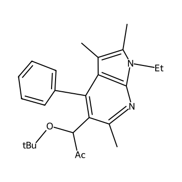 CCn1c(C)c(C)c2c(-c3ccccc3)c(C(OC(C)(C)C)C(C)=O)c(C)nc21